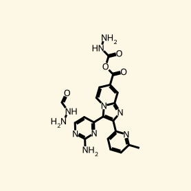 Cc1cccc(-c2nc3cc(C(=O)OC(=O)NN)ccn3c2-c2ccnc(N)n2)n1.NNC=O